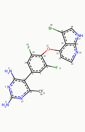 Nc1nc(N)c(-c2cc(F)c(Oc3ccnc4[nH]cc(Br)c34)c(F)c2)c(C(F)(F)F)n1